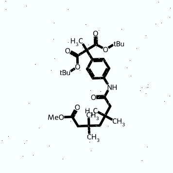 COC(=O)CC(C)(C)CC(C)(C)CC(=O)Nc1ccc(C(C)(C(=O)OC(C)(C)C)C(=O)OC(C)(C)C)cc1